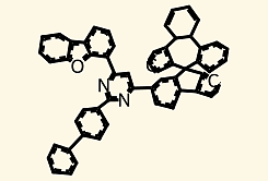 C1=CC2c3ccccc3C3(c4ccccc4-c4ccc(-c5cc(-c6cccc7c6oc6ccccc67)nc(-c6ccc(-c7ccccc7)cc6)n5)cc43)c3ccccc3C2C=C1